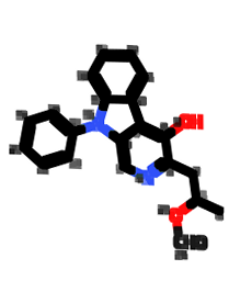 CC(Cc1ncc2c(c1O)c1ccccc1n2-c1ccccc1)OC=O